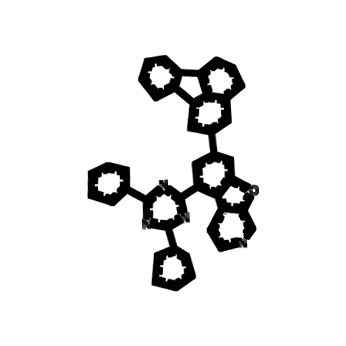 c1ccc(-c2nc(-c3ccccc3)nc(-c3cc(-c4cc5c6c(cccc6c4)-c4ccccc4-5)cc4oc5cnccc5c34)n2)cc1